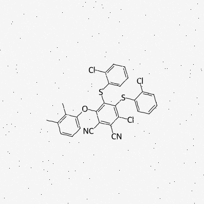 Cc1cccc(Oc2c(C#N)c(C#N)c(Cl)c(Sc3ccccc3Cl)c2Sc2ccccc2Cl)c1C